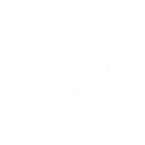 O=C(O)C(c1ccc2c(c1)C=CC=NS2)C1C=c2ccccc2=c2ccc3c(c21)CCCC=3